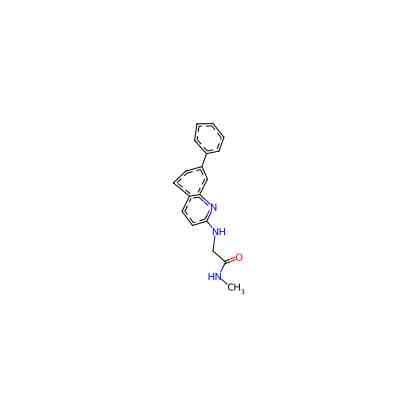 CNC(=O)CNc1ccc2ccc(-c3ccccc3)cc2n1